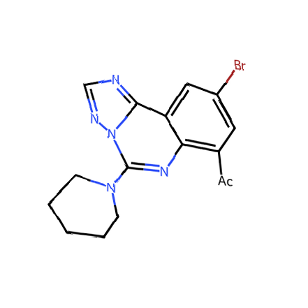 CC(=O)c1cc(Br)cc2c1nc(N1CCCCC1)n1ncnc21